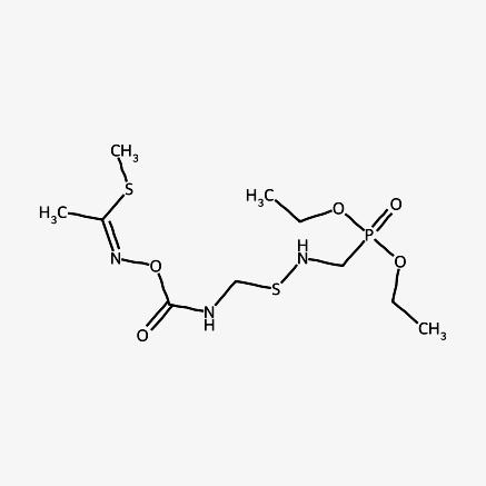 CCOP(=O)(CNSCNC(=O)ON=C(C)SC)OCC